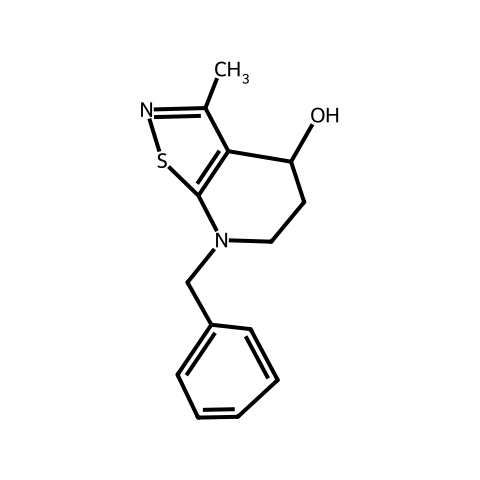 Cc1nsc2c1C(O)CCN2Cc1ccccc1